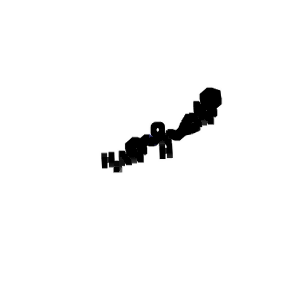 Nc1ccc(/C=C/C(=O)NCCC2C3CN(c4ncc5ccccc5n4)CC23)cn1